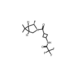 C[C@@H]1[C@@H]2[C@H](CN1C(=O)C1CC(NC(=O)C(F)(F)F)C1)C2(C)C